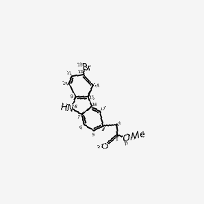 COC(=O)Cc1ccc2[nH]c3ccc(Br)cc3c2c1